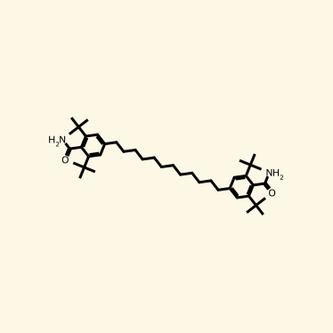 CC(C)(C)c1cc(CCCCCCCCCCCCc2cc(C(C)(C)C)c(C(N)=O)c(C(C)(C)C)c2)cc(C(C)(C)C)c1C(N)=O